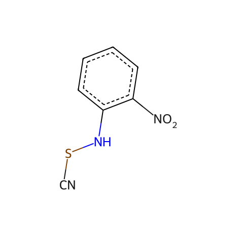 N#CSNc1ccccc1[N+](=O)[O-]